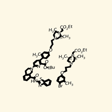 CCOC(=O)CN1[C@H](C)CN(CCCOc2ccc(-c3ccc(N4CCc5cccc(C(=O)Nc6nc7ccccc7s6)c5C4)nc3C(=O)OC(C)(C)C)c(C)c2)C[C@@H]1C.CCOC(=O)CN1[C@H](C)CN(CCCOc2ccc(Br)c(C)c2)C[C@@H]1C